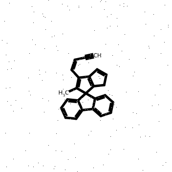 C#C/C=C\C1=C(C)C2(C3=C1C=CC3)c1ccccc1-c1ccccc12